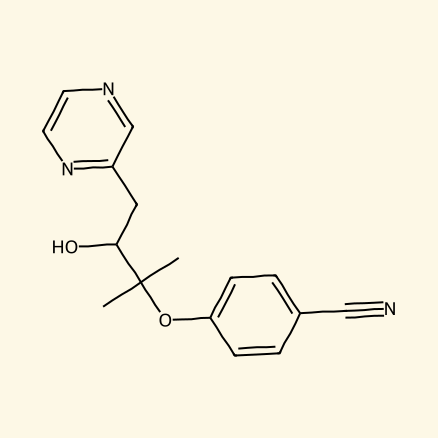 CC(C)(Oc1ccc(C#N)cc1)C(O)Cc1cnccn1